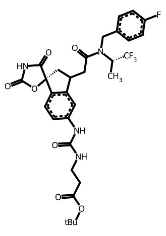 C[C@H](N(Cc1ccc(F)cc1)C(=O)CC1C[C@@]2(OC(=O)NC2=O)c2ccc(NC(=O)NCCC(=O)OC(C)(C)C)cc21)C(F)(F)F